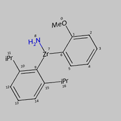 COc1cccc[c]1[Zr]([NH2])[c]1c(C(C)C)cccc1C(C)C